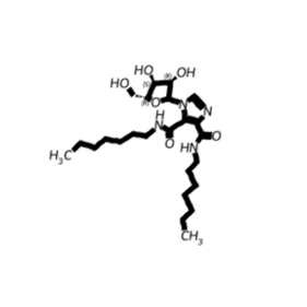 CCCCCCCNC(=O)c1ncn(C2O[C@H](CO)[C@@H](O)[C@H]2O)c1C(=O)NCCCCCCC